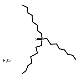 CCCCCCCCP(=S)(CCCCCCCC)CCCCCCCC.[SeH2]